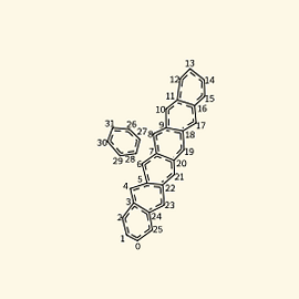 c1ccc2cc3cc4cc5cc6ccccc6cc5cc4cc3cc2c1.c1ccccc1